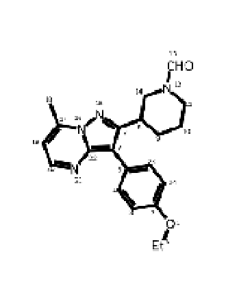 CCOc1ccc(-c2c(C3CCCN(C=O)C3)nn3c(C)ccnc23)cc1